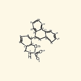 O=S1(=O)NCc2cccc(-c3cc4ccccc4c4ccccc34)c2O1